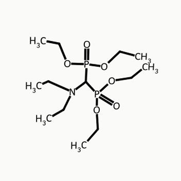 CCOP(=O)(OCC)C(N(CC)CC)P(=O)(OCC)OCC